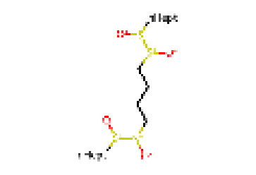 CCCCCCC[S+]([O-])[S+]([O-])CCCC[S+]([O-])[S+]([O-])CCCCCCC